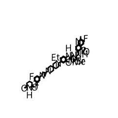 CCc1cc(Nc2ncc(Br)c(Nc3ccc4nc(C)c(F)cc4c3P(C)(C)=O)n2)c(OC)cc1N1CCC2(CC1)CCN(C1CN(c3cc(F)c([C@H]4CCC(=O)NC4=O)c(F)c3)C1)CC2